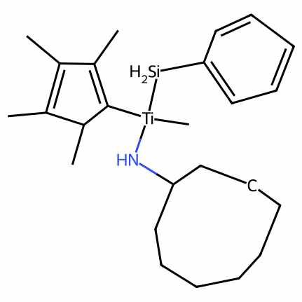 CC1=C(C)C(C)[C]([Ti]([CH3])([NH]C2CCCCCCCC2)[SiH2]c2ccccc2)=C1C